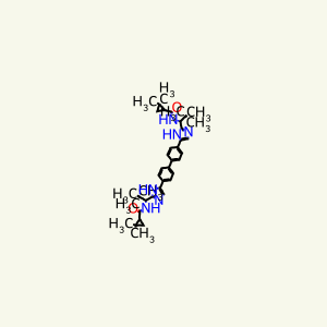 CC1(C)CC1C(=O)N[C@H](c1ncc(-c2ccc(-c3ccc(-c4cnc([C@@H](NC(=O)C5CC5(C)C)C(C)(C)C)[nH]4)cc3)cc2)[nH]1)C(C)(C)C